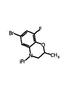 CC1CN(C(C)C)c2cc(Br)cc(F)c2O1